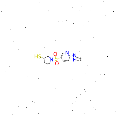 CCNc1ccc(S(=O)(=O)N2CCC(S)C2)cn1